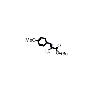 COC1=CCC(/C=C(\C)C(=O)OC(C)(C)C)C=C1